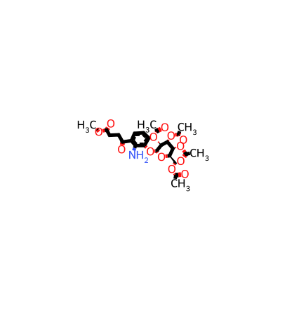 COC(=O)CCC(=O)c1cccc(OC2O[C@H](COC(C)=O)[C@@H](OC(C)=O)[C@H](OC(C)=O)[C@H]2OC(C)=O)c1N